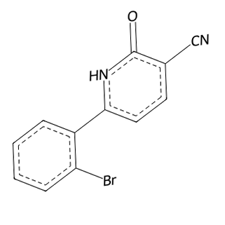 N#Cc1ccc(-c2ccccc2Br)[nH]c1=O